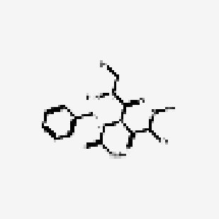 CNC(=O)[C@H](Cc1ccccc1)N(C(=O)C(SC(C)=O)C(C)C)C(=O)[C@@H](N)CC(C)C